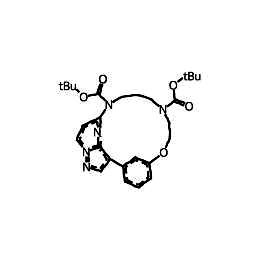 CC(C)(C)OC(=O)N1CCCN(C(=O)OC(C)(C)C)c2ccn3ncc(c3n2)-c2cccc(c2)OCC1